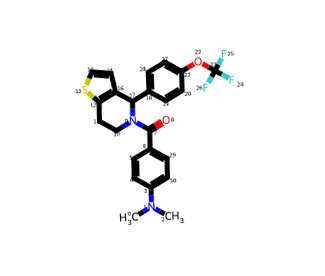 CN(C)c1ccc(C(=O)N2CCc3sccc3C2c2ccc(OC(F)(F)F)cc2)cc1